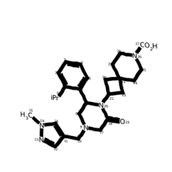 CC(C)c1ccccc1C1CN(Cc2cnn(C)c2)CC(=O)N1C1CC2(CCN(C(=O)O)CC2)C1